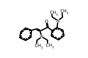 CCN(CC)C(=Cc1ccccc1)C(=O)c1ccccc1N(CC)CC